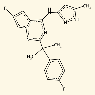 Cc1cc(Nc2nc(C(C)(C)c3ccc(F)cc3)nn3cc(F)cc23)n[nH]1